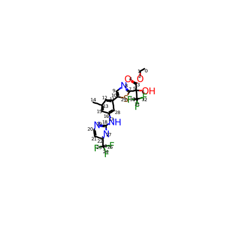 CCOC(=O)C(O)(c1ncc(-c2cc(C)cc(Nc3nccc(C(F)(F)F)n3)c2)s1)C(F)(F)F